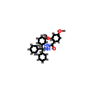 COc1ccc(C(=O)NNC(c2ccccc2)(c2ccccc2)c2ccccc2)c(OC)c1